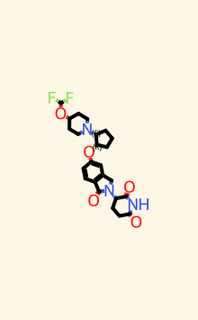 O=C1CCC(N2Cc3cc(O[C@@H]4CCC[C@@H]4N4CCC(OC(F)F)CC4)ccc3C2=O)C(=O)N1